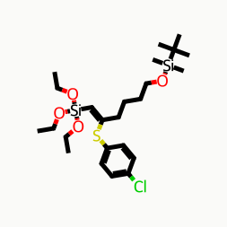 CCO[Si](/C=C(/CCCCO[Si](C)(C)C(C)(C)C)Sc1ccc(Cl)cc1)(OCC)OCC